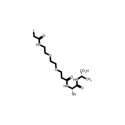 CC(C)[C@H](NC(=O)CCOCCOCCNC(=O)CI)C(=O)N[C@@H](C)C(=O)O